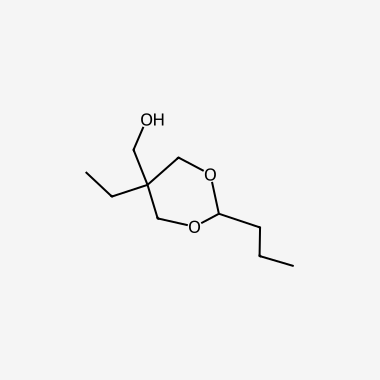 CCCC1OCC(CC)(CO)CO1